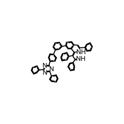 N=C(/C(=C1\NC(c2ccccc2)=Cc2ccc(-c3cccc(-c4ccc(-c5nc(-c6ccccc6)nc(-c6ccccc6)n5)cc4)c3)cc21)c1ccccc1)c1ccccc1